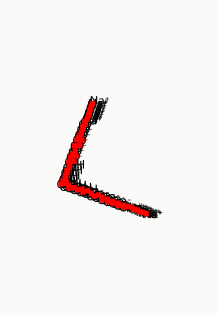 O=S(=O)(O)O.O=S(=O)(O)O.O=S(=O)(O)O.O=S(=O)(O)O.O=S(=O)(O)O.O=S(=O)(O)O.O=S(=O)(O)O.O=S(=O)(O)O.O=S(=O)([O-])O.O=S(=O)([O-])[O-].O=S(=O)([O-])[O-].O=S(=O)([O-])[O-].O=S(=O)([O-])[O-].O=S(=O)([O-])[O-].O=S(=O)([O-])[O-].O=S(=O)([O-])[O-].O=S(=O)([O-])[O-].O=S(=O)([O-])[O-].O=S(=O)([O-])[O-].O=S(=O)([O-])[O-].O=S(=O)([O-])[O-].O=S(=O)([O-])[O-].O=S(=O)([O-])[O-].[Na+].[Na+].[Na+].[Na+].[Na+].[Na+].[Na+].[Na+].[Na+].[Na+].[Na+].[Na+].[Na+].[Na+].[Na+].[Na+].[Na+].[Na+].[Na+].[Na+].[Na+].[Na+].[Na+].[Na+].[Na+].[Na+].[Na+].[Na+].[Na+]